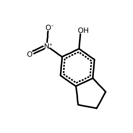 O=[N+]([O-])c1cc2c(cc1O)CCC2